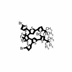 CC(C)(C)c1ccc(-c2cc(C3=C(c4cc(-c5sc(C(C)(C)C)cc5Br)sc4-c4ccc(Br)s4)C(F)(F)C(F)(F)C3(F)F)c(-c3ccc(Br)s3)s2)s1